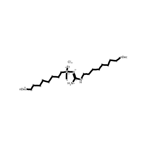 CCCCCCCCCCCCCCCCCCNC(N)=N[N+](C)(CC)CCCCCCCCCCCCCCCCCC.[Cl-]